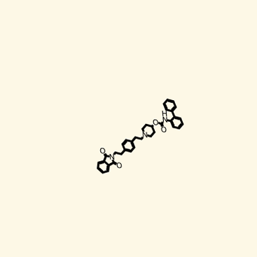 O=C(Nc1ccccc1-c1ccccc1)OC1CCN(CCc2ccc(CCN3C(=O)c4ccccc4C3=O)cc2)CC1